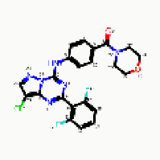 O=C(c1ccc(Nc2nc(-c3c(F)cccc3F)nc3c(Cl)cnn23)cc1)N1CCOCC1